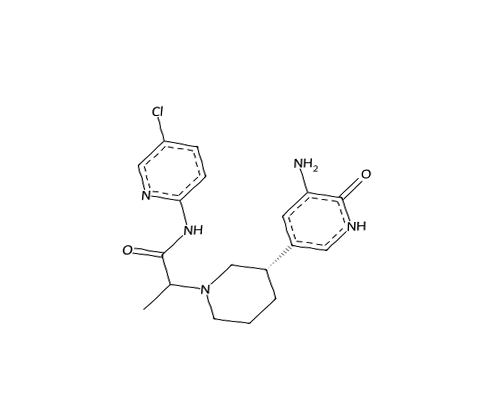 CC(C(=O)Nc1ccc(Cl)cn1)N1CCC[C@@H](c2c[nH]c(=O)c(N)c2)C1